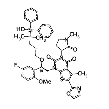 COc1ccc(F)cc1[C@H](Cn1c(=O)n(C2CCN(C)C2=O)c(=O)c2c(C)c(-c3ncco3)sc21)OCCCC(C)(C)[Si](O)(c1ccccc1)c1ccccc1